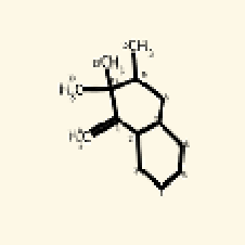 C=C1C2CCCCC2CC(C)C1(C)C